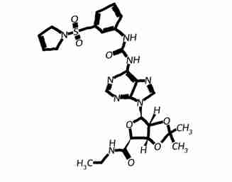 CCNC(=O)[C@H]1O[C@@H](n2cnc3c(NC(=O)Nc4cccc(S(=O)(=O)N5CC=CC5)c4)ncnc32)[C@@H]2OC(C)(C)O[C@@H]21